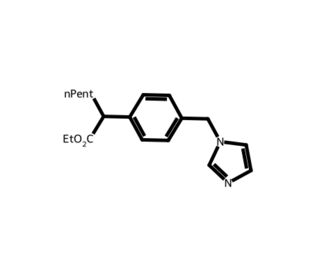 CCCCCC(C(=O)OCC)c1ccc(Cn2ccnc2)cc1